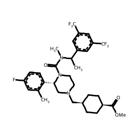 COC(=O)[C@H]1CC[C@@H](CN2CCN(C(=O)N(C)C(C)c3cc(C(F)(F)F)cc(C(F)(F)F)c3)[C@@H](c3ccc(F)cc3C)C2)CC1